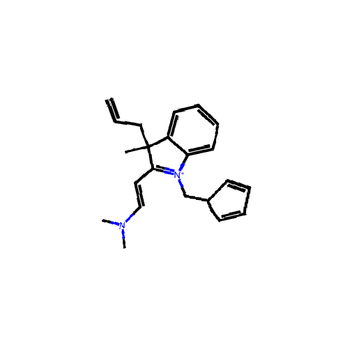 C=CCC1(C)C(/C=C/N(C)C)=[N+](CC2C=CC=C2)c2ccccc21